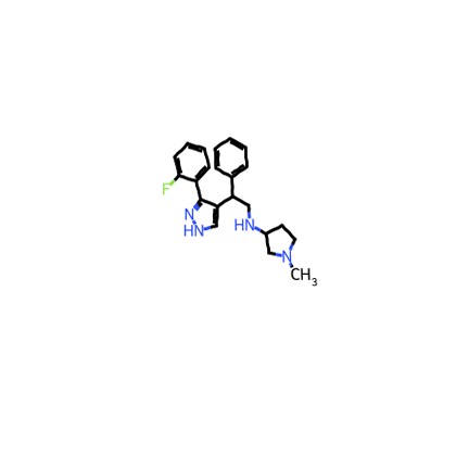 CN1CCC(NCC(c2ccccc2)c2c[nH]nc2-c2ccccc2F)C1